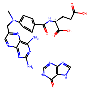 CN(Cc1cnc2nc(N)nc(N)c2n1)c1ccc(C(=O)N[C@@H](CCC(=O)O)C(=O)O)cc1.O=c1[nH]cnc2nc[nH]c12